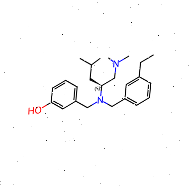 CCc1cccc(CN(Cc2cccc(O)c2)[C@@H](CC(C)C)CN(C)C)c1